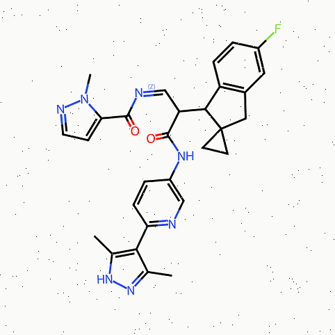 Cc1n[nH]c(C)c1-c1ccc(NC(=O)C(/C=N\C(=O)c2ccnn2C)C2c3ccc(F)cc3CC23CC3)cn1